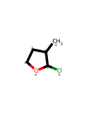 CC1CCOC1Cl